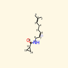 CC(C)=CCC/C=C\CNC(=O)C1CC1